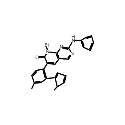 CCn1c(=O)c(-c2ccc(C)cc2C2=CC=CC2C)cc2cnc(Nc3ccccc3)nc21